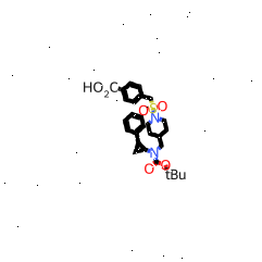 CC(C)(C)OC(=O)N(CC1CCN(S(=O)(=O)Cc2ccc(C(=O)O)cc2)CC1)C1CC1c1ccccc1